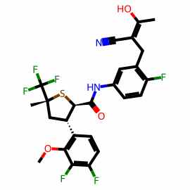 COc1c([C@@H]2C[C@](C)(C(F)(F)F)S[C@H]2C(=O)Nc2ccc(F)c(C/C(C#N)=C(\C)O)c2)ccc(F)c1F